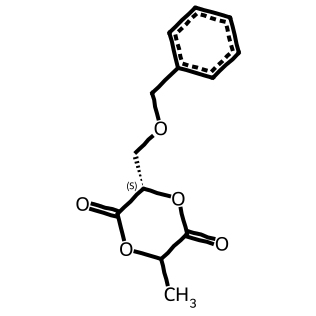 CC1OC(=O)[C@H](COCc2ccccc2)OC1=O